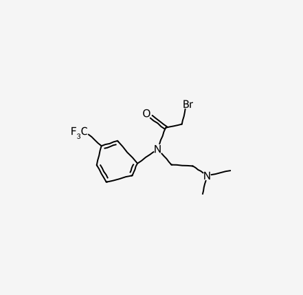 CN(C)CCN(C(=O)CBr)c1cccc(C(F)(F)F)c1